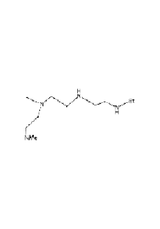 [CH2]CNCCNCCN(C)CCN[CH2]